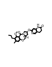 CCCc1c(C)cc2c(c1OC)C(=O)N1C[C@@H](Oc3cc4c(cn3)CCC(=O)N4)C[C@@H]1CO2